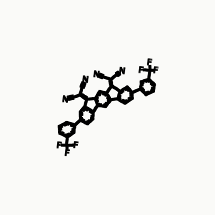 N#CC(C#N)=C1c2cc(-c3cccc(C(F)(F)F)c3)ccc2-c2cc3c(cc21)C(=C(C#N)C#N)c1cc(-c2cccc(C(F)(F)F)c2)ccc1-3